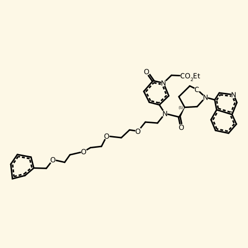 CCOC(=O)Cn1cc(N(CCOCCOCCOCCOCc2ccccc2)C(=O)[C@H]2CCCN(c3cncc4ccccc34)C2)ccc1=O